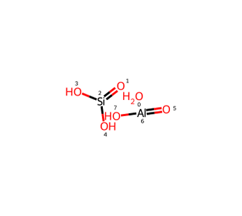 O.O=[Si](O)O.[O]=[Al][OH]